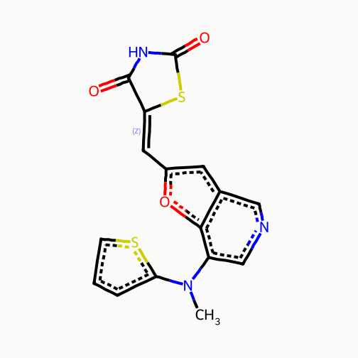 CN(c1cccs1)c1cncc2cc(/C=C3\SC(=O)NC3=O)oc12